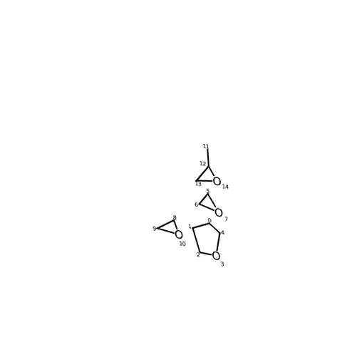 C1CCOC1.C1CO1.C1CO1.CC1CO1